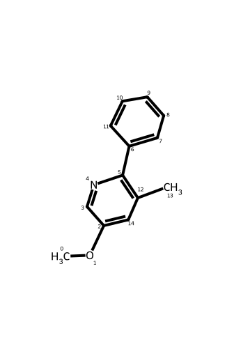 COc1cnc(-c2ccccc2)c(C)c1